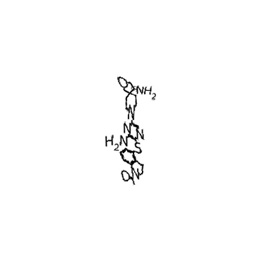 CC(=O)N1CCc2c(Sc3ncc(N4CCC5(CC4)COC[C@H]5N)nc3N)cccc21